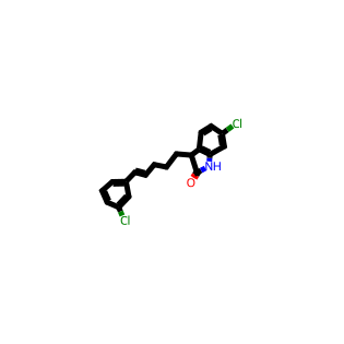 O=C1Nc2cc(Cl)ccc2C1CCCC=Cc1cccc(Cl)c1